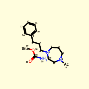 CC(=O)N1CCCN(CCCc2ccccc2)CC1.CC(C)(C)OC(N)=O